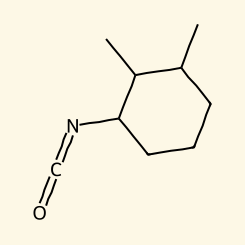 CC1CCCC(N=C=O)C1C